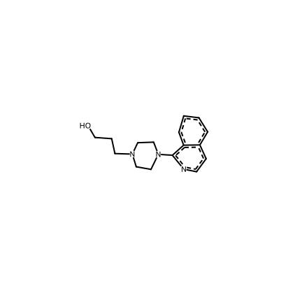 OCCCN1CCN(c2nccc3ccccc23)CC1